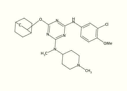 COc1ccc(Nc2nc(OC3CC4CCC3CC4)nc(N(C)C3CCN(C)CC3)n2)cc1Cl